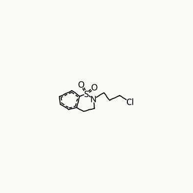 O=S1(=O)c2ccccc2CCN1CCCCl